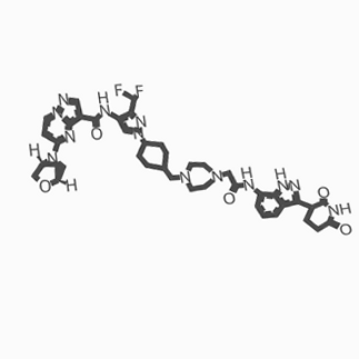 O=C1CCC(c2n[nH]c3c(NC(=O)CN4CCN(CC5CCC(n6cc(NC(=O)c7cnn8ccc(N9C[C@H]%10C[C@@H]9CO%10)nc78)c(C(F)F)n6)CC5)CC4)cccc23)C(=O)N1